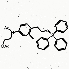 CC(=O)OCCN(C(C)=O)c1ccc(CCS[Si](c2ccccc2)(c2ccccc2)c2ccccc2)c(C)c1